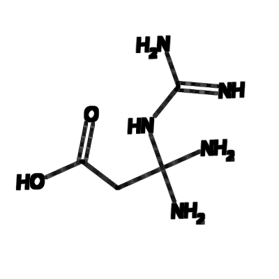 N=C(N)NC(N)(N)CC(=O)O